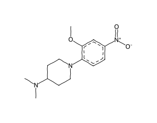 COc1cc([N+](=O)[O-])ccc1N1CCC(N(C)C)CC1